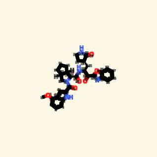 COc1cccc2[nH]c(C(=O)N3C[C@@H]4CCC[C@@H]4[C@H]3C(=O)N[C@@H](C[C@@H]3CCNC3=O)C(=O)c3nc4ccccc4o3)cc12